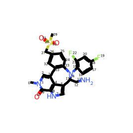 Cn1cc2c3c(c[nH]c3c1=O)C(CN)N(c1ccc(F)cc1F)c1ccc(CS(C)(=O)=O)cc1-2